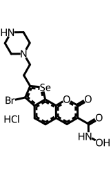 Cl.O=C(NO)c1cc2ccc3c(Br)c(CCN4CCNCC4)[se]c3c2oc1=O